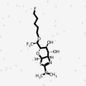 CN(C)C1=N[C@@H]2[C@@H](O)[C@H](O)[C@@H]([C@H](OCCCCCF)C(F)(F)F)O[C@@H]2S1